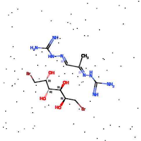 CC(/C=N/NC(=N)N)=N\NC(=N)N.O[C@H]([C@H](O)[C@@H](O)CBr)[C@H](O)CBr